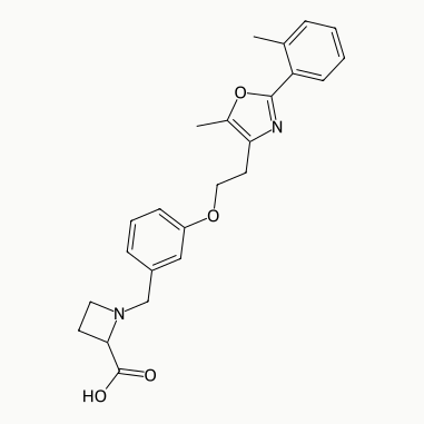 Cc1ccccc1-c1nc(CCOc2cccc(CN3CCC3C(=O)O)c2)c(C)o1